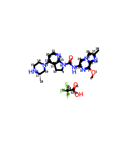 COc1nc(NC(=O)N2CCc3c(N4CCN[C@@H](C)C4)ccnc32)cn2cc(C)nc12.O=C(O)C(F)(F)F